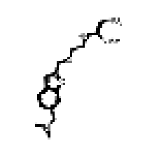 CN/C(=C\[N+](=O)[O-])NCCSCc1cc2ccc(CN(C)C)cc2o1